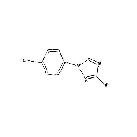 CC(C)c1ncn(-c2ccc(Cl)cc2)n1